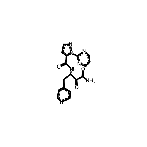 NC(=O)C(=O)C(Cc1ccncc1)NC(=O)c1ccnn1-c1ncccn1